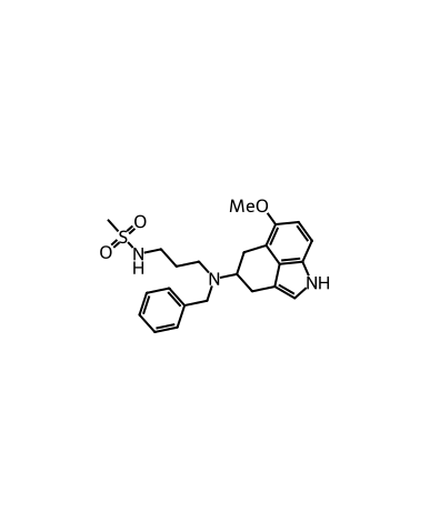 COc1ccc2[nH]cc3c2c1CC(N(CCCNS(C)(=O)=O)Cc1ccccc1)C3